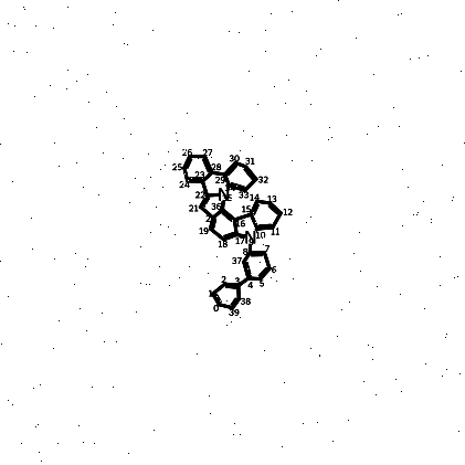 c1ccc(-c2cccc(-n3c4ccccc4c4c3ccc3cc5c6ccccc6c6ccccc6n5c34)c2)cc1